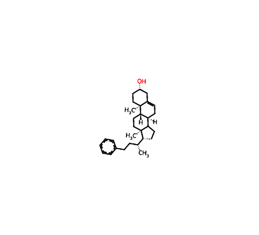 C[C@H](CCc1ccccc1)[C@H]1CCC2[C@@H]3CC=C4C[C@@H](O)CC[C@]4(C)[C@H]3CC[C@@]21C